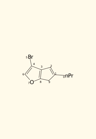 CCCC1=Cc2c(Br)coc2C1